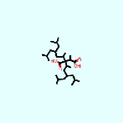 CC(C)CC(CC(C)C)CC(C)C(C(=O)O)(C(C)CC(CC(C)C)CC(C)C)C(C)C(=O)O